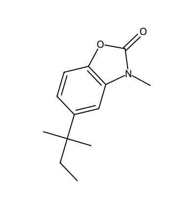 CCC(C)(C)c1ccc2oc(=O)n(C)c2c1